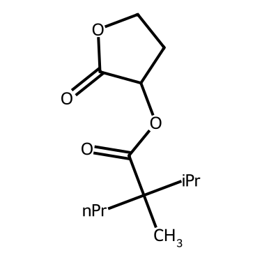 CCCC(C)(C(=O)OC1CCOC1=O)C(C)C